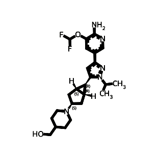 CC(C)n1nc(-c2cnc(N)c(OC(F)F)c2)cc1[C@H]1[C@@H]2C[C@@H](N3CCC(CO)CC3)C[C@@H]21